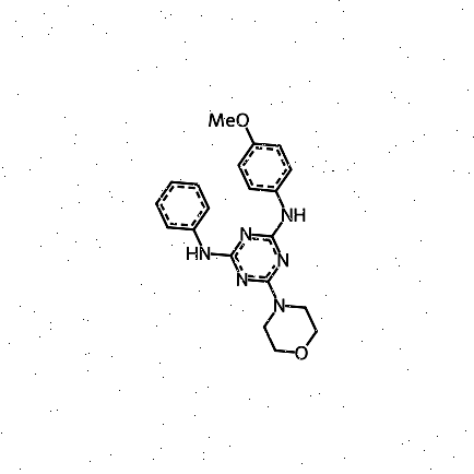 COc1ccc(Nc2nc(Nc3ccccc3)nc(N3CCOCC3)n2)cc1